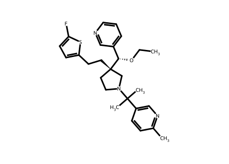 CCO[C@@H](c1cccnc1)[C@@]1(CCc2ccc(F)s2)CCN(C(C)(C)c2ccc(C)nc2)C1